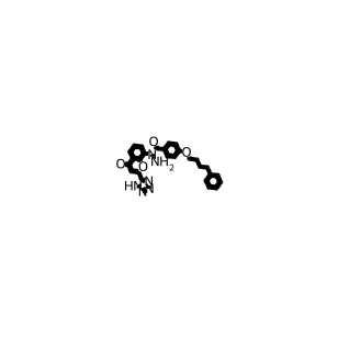 NN(C(=O)c1ccc(OCCCCc2ccccc2)cc1)c1cccc2c(=O)cc(-c3nnn[nH]3)oc12